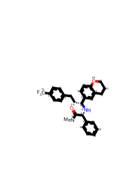 CNC(=O)[C@H](N[C@H](CCc1ccc(C(F)(F)F)cc1)c1ccc2c(c1)CCCO2)c1ccccc1